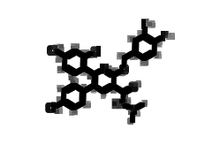 CN(C)NC(=O)c1cc(-c2ccc(Cl)cc2)c(-c2ccc(Cl)cc2Cl)nc1OCc1ccc(F)c(F)c1